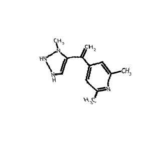 C=C(C1=CNNN1C)c1cc(C)nc(C)c1